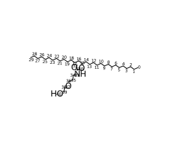 CCCCCCCCCCCCCCCC(CCCCCCCCCCCCCC)OC(=O)NCCCOCCO